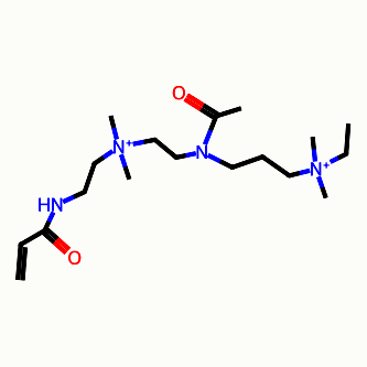 C=CC(=O)NCC[N+](C)(C)CCN(CCC[N+](C)(C)CC)C(C)=O